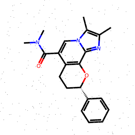 Cc1nc2c3c(c(C(=O)N(C)C)cn2c1C)CC[C@@H](c1ccccc1)O3